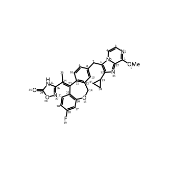 COc1nccn2c(Cc3ccc4c(c3)COc3cc(F)ccc3C4=C(C)c3noc(=O)[nH]3)c(C3CC3)nc12